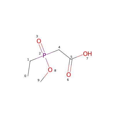 CCP(=O)(CC(=O)O)OC